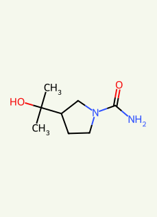 CC(C)(O)C1CCN(C(N)=O)C1